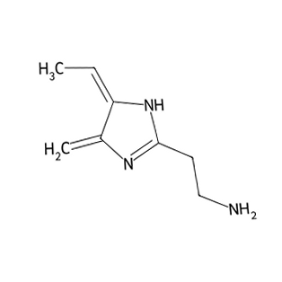 C=c1nc(CCN)[nH]/c1=C/C